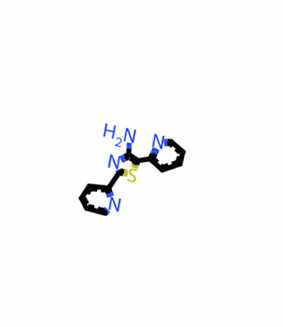 Nc1nc(-c2ccccn2)sc1-c1ccccn1